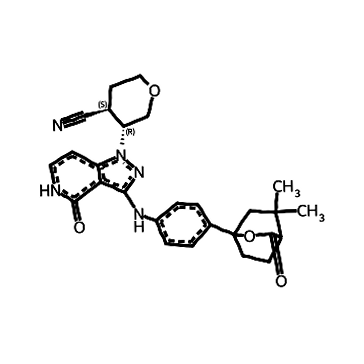 CC1(C)CC2(c3ccc(Nc4nn([C@H]5COCC[C@@H]5C#N)c5cc[nH]c(=O)c45)cc3)CCC1C(=O)O2